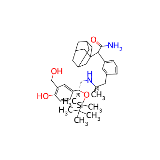 C[C@H](Cc1cccc(C(C(N)=O)C23CC4CC(CC(C4)C2)C3)c1)NC[C@H](O[Si](C)(C)C(C)(C)C)c1ccc(O)c(CO)c1